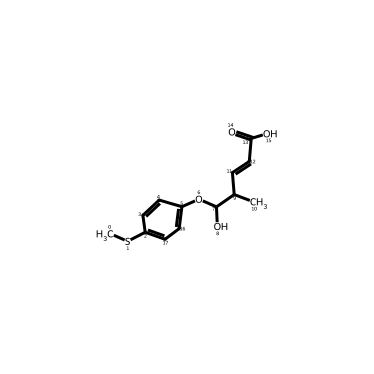 CSc1ccc(OC(O)C(C)C=CC(=O)O)cc1